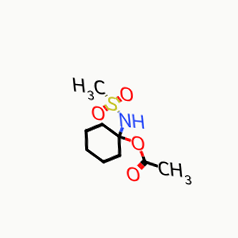 CC(=O)OC1(NS(C)(=O)=O)CCCCC1